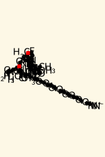 CC[C@@]1(O)C(=O)OCc2c1cc1n(c2=O)Cc2c-1nc1cc(F)c(C)c3c1c2[C@@H](NC(=O)[C@@H](CCCNC(N)=O)NC(=O)[C@@H](NC(=O)CCOCCOCCOCCOCCOCCOCCOCCOCCOCCN=[N+]=[N-])C(C)C)CC3